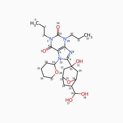 CCCn1c(=O)c2c(nc(C3(O)CC4CC(C(O)O)C(C3)O4)n2C2CCCCO2)n(CCC)c1=O